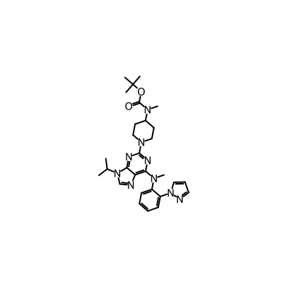 CC(C)n1cnc2c(N(C)c3ccccc3-n3cccn3)nc(N3CCC(N(C)C(=O)OC(C)(C)C)CC3)nc21